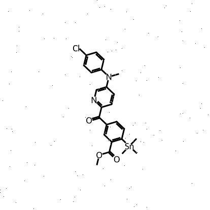 COC(=O)c1cc(C(=O)c2ccc(N(C)c3ccc(Cl)cc3)cn2)cc[c]1[Sn]([CH3])([CH3])[CH3]